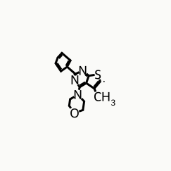 Cc1[c]sc2nc(-c3ccccc3)nc(N3CCOCC3)c12